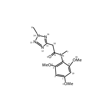 COc1cc(OC)c(N(C)C(=O)Cc2nnn(C)n2)c(OC)c1